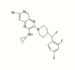 Fc1ccc(C(F)C2CCN(c3nc4cnc(Br)cc4nc3NC3CC3)CC2)c(F)c1